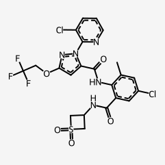 Cc1cc(Cl)cc(C(=O)NC2CS(=O)(=O)C2)c1NC(=O)c1cc(OCC(F)(F)F)nn1-c1ncccc1Cl